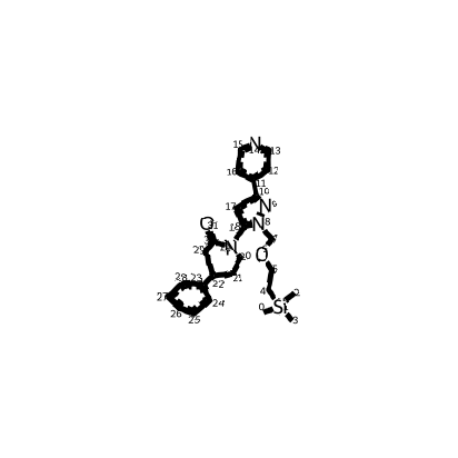 C[Si](C)(C)CCOCn1nc(-c2ccncc2)cc1N1CCC(c2ccccc2)CC1=O